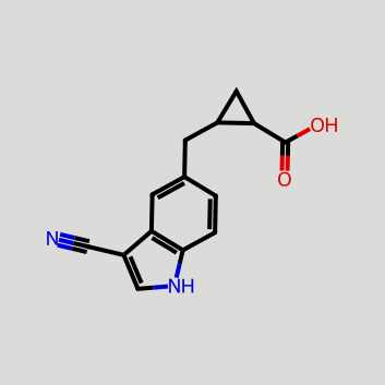 N#Cc1c[nH]c2ccc(CC3CC3C(=O)O)cc12